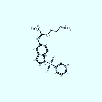 C=CCCO/C(=C\c1ccc2c(ccn2S(=O)(=O)c2ccccc2)c1)C(=O)OCC